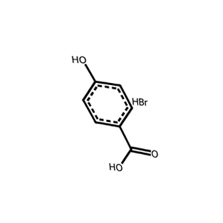 Br.O=C(O)c1ccc(O)cc1